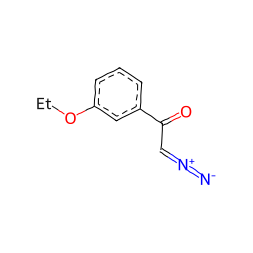 CCOc1cccc(C(=O)C=[N+]=[N-])c1